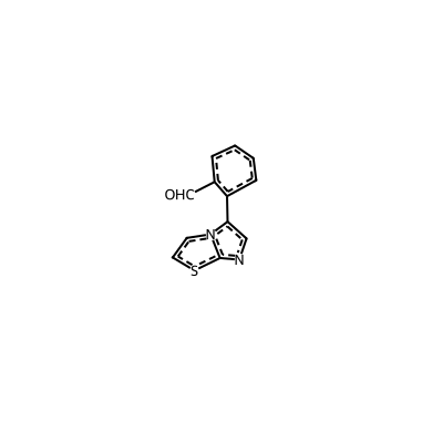 O=Cc1ccccc1-c1cnc2sccn12